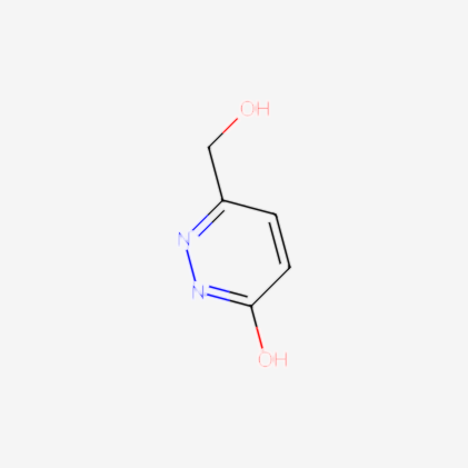 OCc1ccc(O)nn1